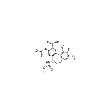 COC(=O)N[C@H]1CCc2cc(OC)c(OC)c(OC)c2-c2cc(C(=O)O)c(OC(=O)OC)cc21